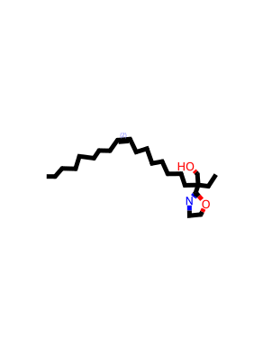 CCCCCCCC/C=C\CCCCCCCC(CC)(CO)C1=NCCO1